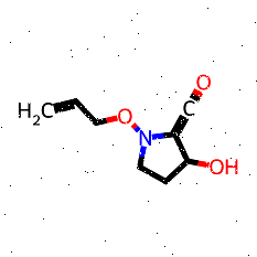 C=CCON1CCC(O)C1=C=O